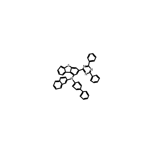 c1ccc(-c2ccc(N(c3ccc4ccccc4c3)c3cc(-c4nc(-c5ccccc5)nc(-c5ccccc5)n4)cc4sc5ccccc5c34)cc2)cc1